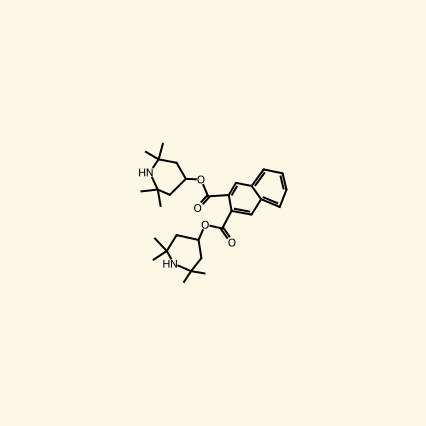 CC1(C)CC(OC(=O)c2cc3ccccc3cc2C(=O)OC2CC(C)(C)NC(C)(C)C2)CC(C)(C)N1